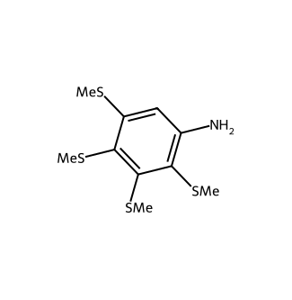 CSc1cc(N)c(SC)c(SC)c1SC